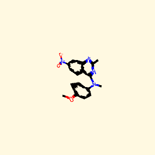 COc1ccc(N(C)c2nc(C)nc3cc([N+](=O)[O-])ccc23)cc1